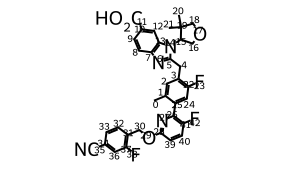 Cc1cc(Cc2nc3ccc(C(=O)O)cc3n2C2COCC2(C)C)c(F)cc1-c1nc(OCc2ccc(C#N)cc2F)ccc1F